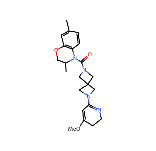 COC1=CC(N2CC3(CN(C(=O)N4c5ccc(C)cc5OCC4C)C3)C2)=NCC1